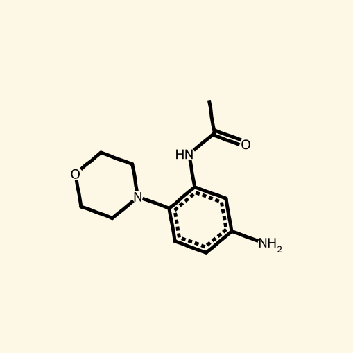 CC(=O)Nc1cc(N)ccc1N1CCOCC1